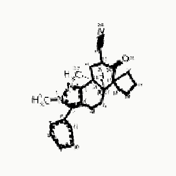 Cn1nc2c(c1-c1ccccc1)CC[C@H]1C3(CCCC3)C(=O)C(C#N)C[C@]21C